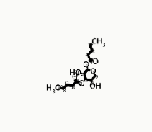 CCCCC(=O)O[C@H]1OC[C@@H](O)[C@@H](OC(=O)CCCC)[C@@H]1O